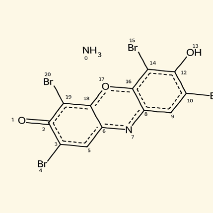 N.O=c1c(Br)cc2nc3cc(Br)c(O)c(Br)c3oc-2c1Br